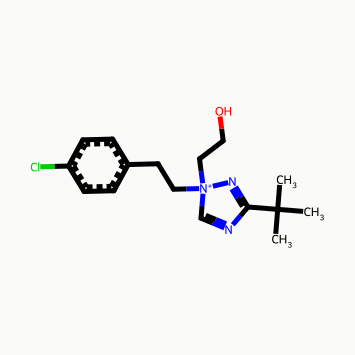 CC(C)(C)C1=N[N+](CCO)(CCc2ccc(Cl)cc2)C=N1